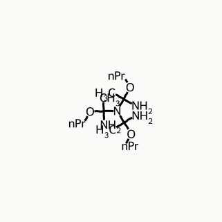 CCCOC(C)(N)N(C(C)(N)OCCC)C(C)(N)OCCC